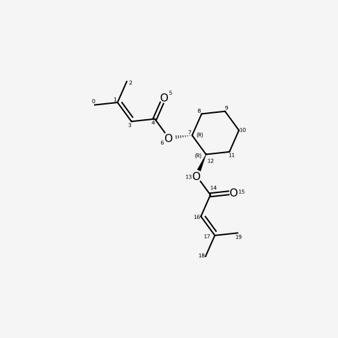 CC(C)=CC(=O)O[C@@H]1CCCC[C@H]1OC(=O)C=C(C)C